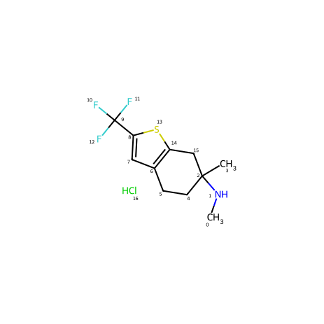 CNC1(C)CCc2cc(C(F)(F)F)sc2C1.Cl